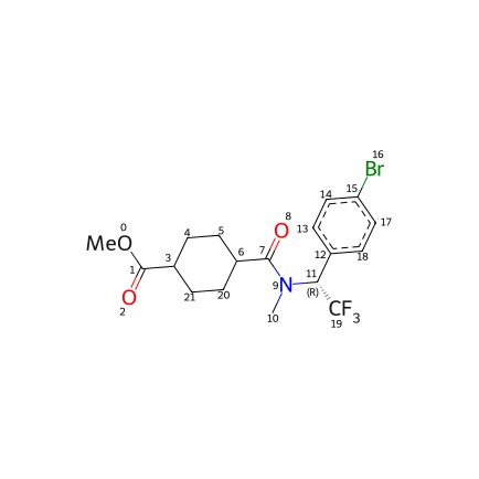 COC(=O)C1CCC(C(=O)N(C)[C@H](c2ccc(Br)cc2)C(F)(F)F)CC1